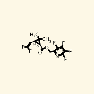 CC1(C)[C@H](C=C(F)F)[C@@H]1C(=O)OCc1nc(F)c(F)c(F)c1F